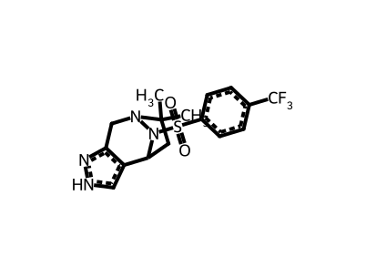 CC1(C)CC2c3c[nH]nc3CN1N2S(=O)(=O)c1ccc(C(F)(F)F)cc1